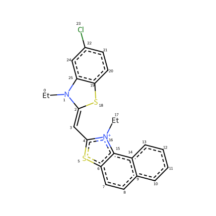 CCN1C(=Cc2sc3ccc4ccccc4c3[n+]2CC)Sc2ccc(Cl)cc21